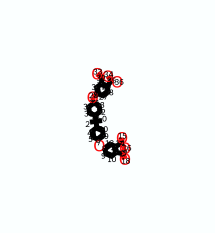 CC(C)(c1ccc(Oc2ccc3c(c2)C(=O)OC3=O)cc1)C1CCC(Oc2ccc3c(c2)C(=O)OC3=O)CC1